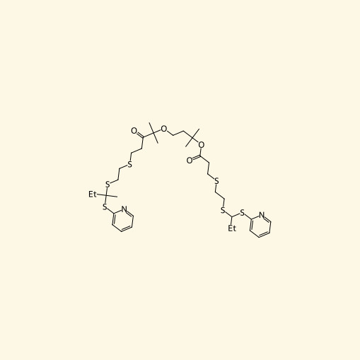 CCC(SCCSCCC(=O)OC(C)(C)CCOC(C)(C)C(=O)CCSCCSC(C)(CC)Sc1ccccn1)Sc1ccccn1